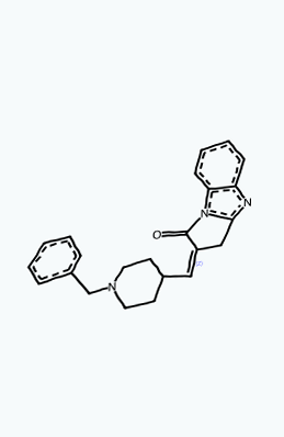 O=C1/C(=C\C2CCN(Cc3ccccc3)CC2)Cc2nc3ccccc3n21